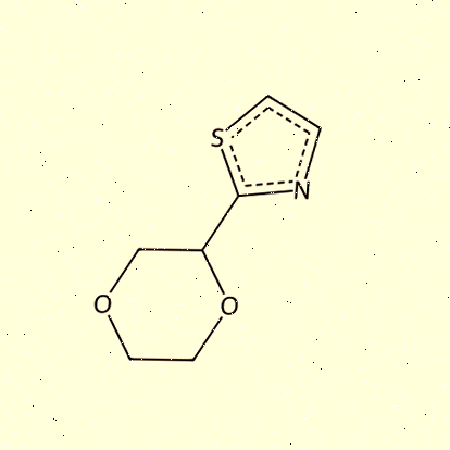 c1csc(C2COCCO2)n1